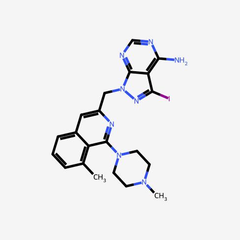 Cc1cccc2cc(Cn3nc(I)c4c(N)ncnc43)nc(N3CCN(C)CC3)c12